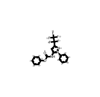 O=C(Nc1cc(C(F)(F)C(F)(F)F)nn1-c1ccccc1)Oc1ccccc1